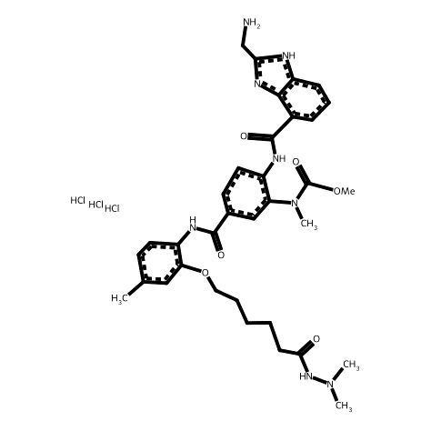 COC(=O)N(C)c1cc(C(=O)Nc2ccc(C)cc2OCCCCCC(=O)NN(C)C)ccc1NC(=O)c1cccc2[nH]c(CN)nc12.Cl.Cl.Cl